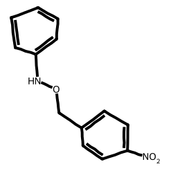 O=[N+]([O-])c1ccc(CONc2ccccc2)cc1